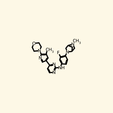 Cc1cc(-c2ccnc(Nc3ccc(N4CC5CC4CN5C)c(F)c3)n2)cnc1N1CCOCC1